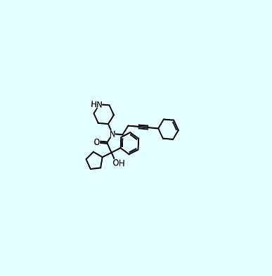 O=C(N(CCC#CC1CC=CCC1)C1CCNCC1)C(O)(c1ccccc1)C1CCCC1